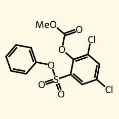 COC(=O)Oc1c(Cl)cc(Cl)cc1S(=O)(=O)Oc1ccccc1